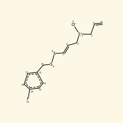 C=CC[S+]([O-])C/C=C/SSCc1ccc(F)cc1